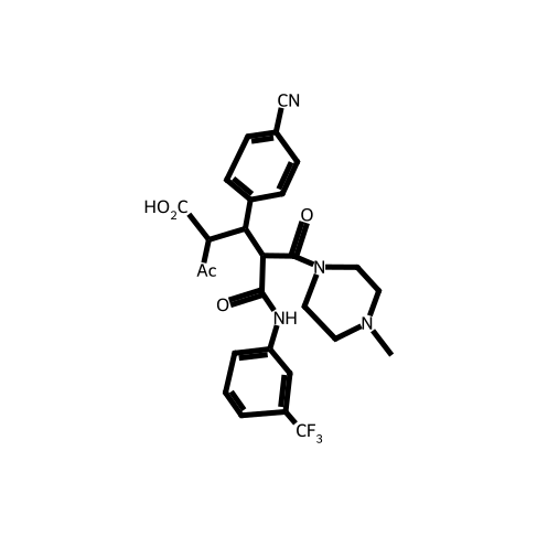 CC(=O)C(C(=O)O)C(c1ccc(C#N)cc1)C(C(=O)Nc1cccc(C(F)(F)F)c1)C(=O)N1CCN(C)CC1